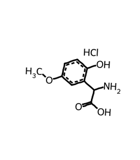 COc1ccc(O)c(C(N)C(=O)O)c1.Cl